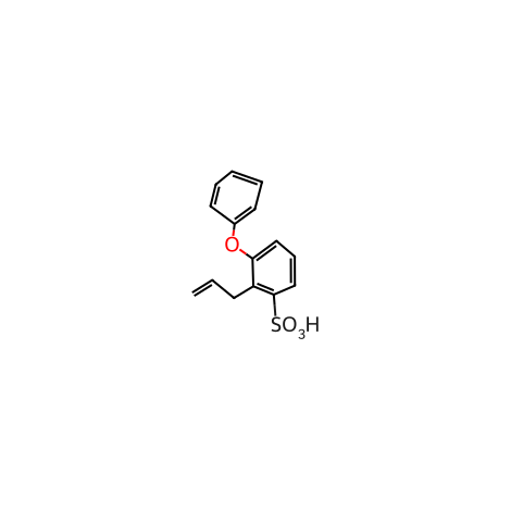 C=CCc1c(Oc2ccccc2)cccc1S(=O)(=O)O